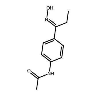 CCC(=NO)c1ccc(NC(C)=O)cc1